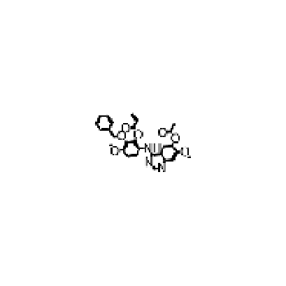 C=CC(=O)Oc1c(Nc2ncnc3cc(OC)c(OC(C)=O)cc23)ccc(OC)c1OCc1ccccc1